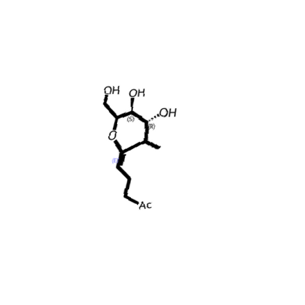 CC(=O)CC/C=C1/OC(CO)[C@@H](O)[C@H](O)C1C